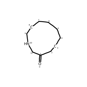 O=C1CCCCCCCCNC1